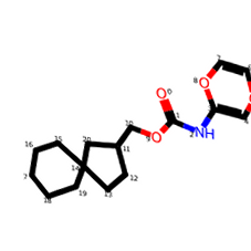 O=C(NC1=COC=CO1)OCC1CCC2(CCCCC2)C1